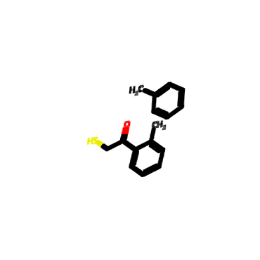 Cc1ccccc1.Cc1ccccc1C(=O)CS